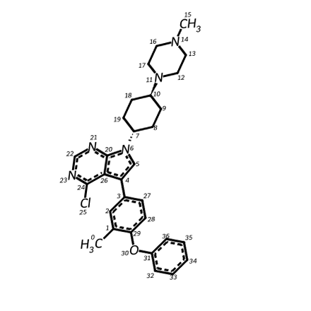 Cc1cc(-c2cn([C@H]3CC[C@H](N4CCN(C)CC4)CC3)c3ncnc(Cl)c23)ccc1Oc1ccccc1